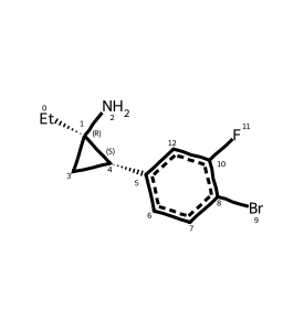 CC[C@@]1(N)C[C@H]1c1ccc(Br)c(F)c1